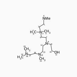 CNCC[N+](C)(C)CCN(CCO)CCN(C)CCN(C)C